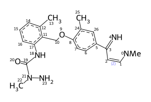 CN/C=C\C(=N)c1ccc(OCc2c(C)cccc2NC(=O)N(C)N)c(C)c1